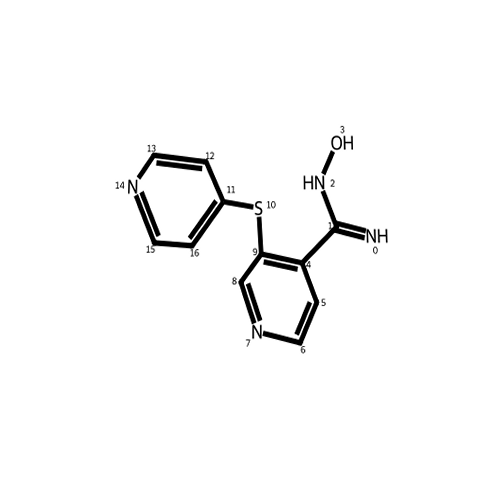 N=C(NO)c1ccncc1Sc1ccncc1